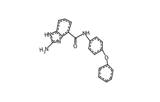 Nc1nc2c(C(=O)Nc3ccc(Oc4ccccc4)cc3)cccc2[nH]1